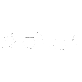 CC(C)C(=O)N1CCC(CN2CCc3cc(-c4cn[nH]c4)ccc32)CC1